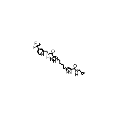 O=C(NCc1cc(C(F)(F)F)ccn1)c1cn(CCCCn2cc(C(=O)NCC3CC3)nn2)nn1